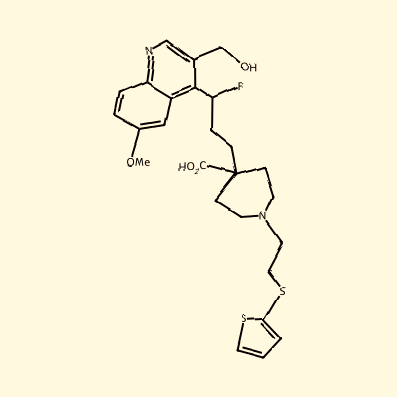 COc1ccc2ncc(CO)c(C(F)CCC3(C(=O)O)CCN(CCSc4cccs4)CC3)c2c1